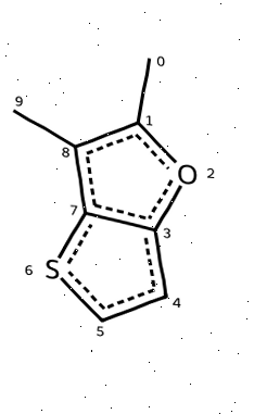 Cc1oc2ccsc2c1C